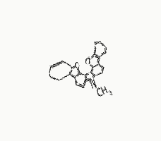 Cn1c2ccc3c4c(oc3c2c2c3oc5ccccc5c3ccc21)C=CCC4